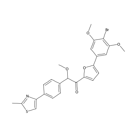 COc1cc(-c2ccc(C(=O)C(OC)c3ccc(-c4csc(C)n4)cc3)o2)cc(OC)c1Br